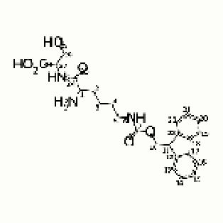 NC(CCCCNC(=O)OCC1c2ccccc2-c2ccccc21)C(=O)NC(CO)C(=O)O